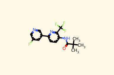 CC(C)(C)C(=O)Nc1ccc(-c2cncc(F)c2)nc1C(F)(F)F